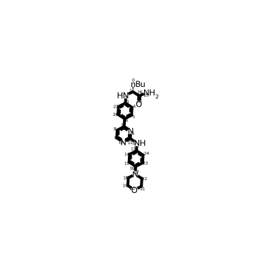 CCCC[C@@H](Nc1ccc(-c2ccnc(Nc3ccc(N4CCOCC4)cc3)n2)cc1)C(N)=O